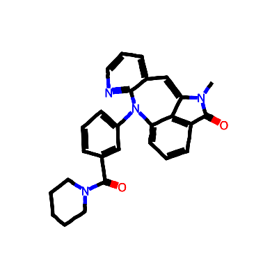 CN1C(=O)c2cccc3c2C1=Cc1cccnc1N3c1cccc(C(=O)N2CCCCC2)c1